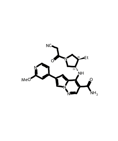 CC[C@@H]1CN(C(=O)CC#N)C[C@H]1Nc1c(C(N)=O)cnn2cc(-c3ccnc(OC)c3)cc12